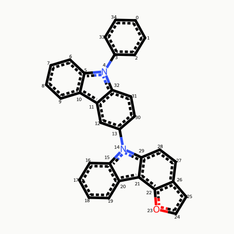 c1ccc(-n2c3ccccc3c3cc(-n4c5ccccc5c5c6occc6ccc54)ccc32)cc1